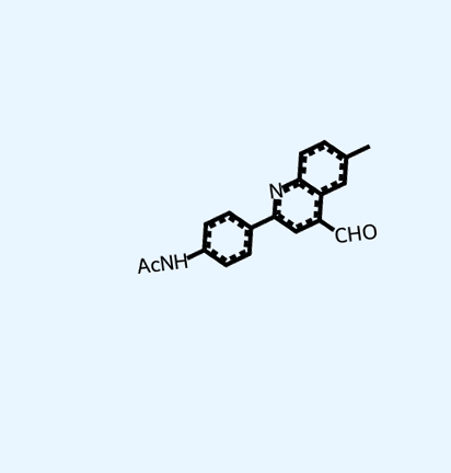 CC(=O)Nc1ccc(-c2cc(C=O)c3cc(C)ccc3n2)cc1